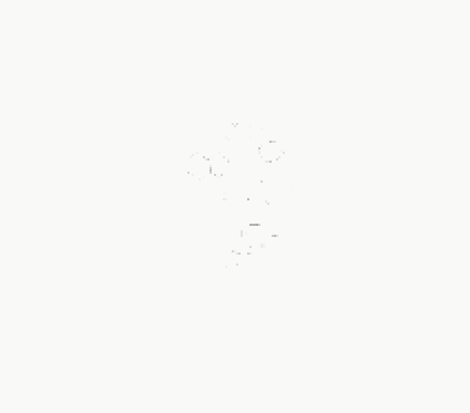 C=C[C@@H]1C[C@]1(NC(=O)[C@@H]1C[C@@H](Oc2ncc(OC)c3ccc(Cl)cc23)CN1C(=O)C(Nc1cccc(S(=O)(=O)NC)c1)C(C)(C)C)C(=O)NS(=O)(=O)C1CC1